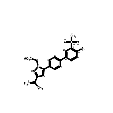 C=C(C)c1cc(-c2ccc(-c3ccc(CC)c(S(C)(=O)=O)c3)cc2)n(CC(=O)O)n1